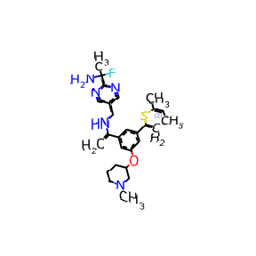 C=C(NCc1cnc(C(C)(N)F)nc1)c1cc(OC2CCCN(C)C2)cc(C(=C)S/C(C)=C\C)c1